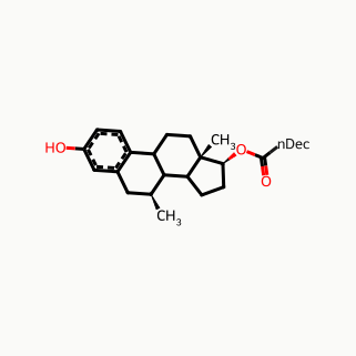 CCCCCCCCCCC(=O)O[C@H]1CCC2C3C(CC[C@@]21C)c1ccc(O)cc1C[C@@H]3C